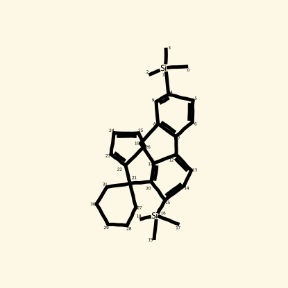 C[Si](C)(C)c1ccc2c(c1)Cc1c-2ccc([Si](C)(C)C)c1C1(C2=CC=CC2)CCCCC1